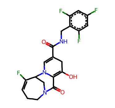 O=C(NCc1c(F)cc(F)cc1F)C1=CN2C(=C(O)C1)C(=O)N1CCC=C(F)C2C1